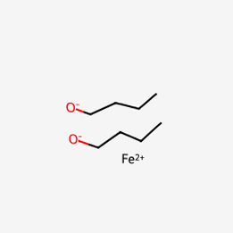 CCCC[O-].CCCC[O-].[Fe+2]